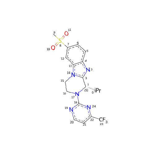 CC(C)[C@H]1c2nc3ccc(S(C)(=O)=O)cc3n2CCN1c1nccc(C(F)(F)F)n1